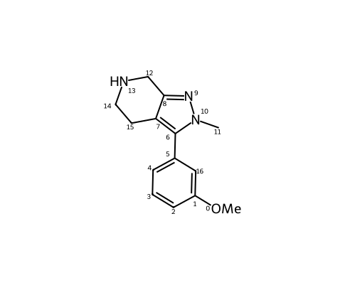 COc1cccc(-c2c3c(nn2C)CNCC3)c1